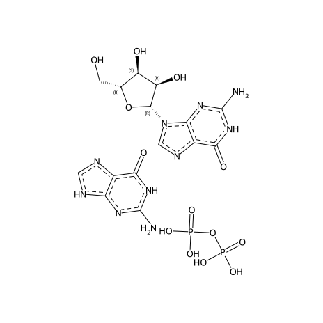 Nc1nc2[nH]cnc2c(=O)[nH]1.Nc1nc2c(ncn2[C@@H]2O[C@H](CO)[C@@H](O)[C@H]2O)c(=O)[nH]1.O=P(O)(O)OP(=O)(O)O